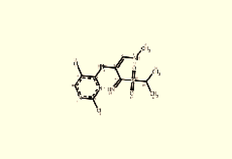 CN/C=C(/Nc1nc(Cl)ncc1Cl)C(=N)S(=O)(=O)C(C)C